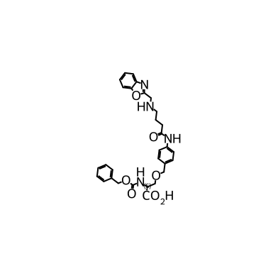 O=C(CCCNCc1nc2ccccc2o1)Nc1ccc(COC[C@H](NC(=O)OCc2ccccc2)C(=O)O)cc1